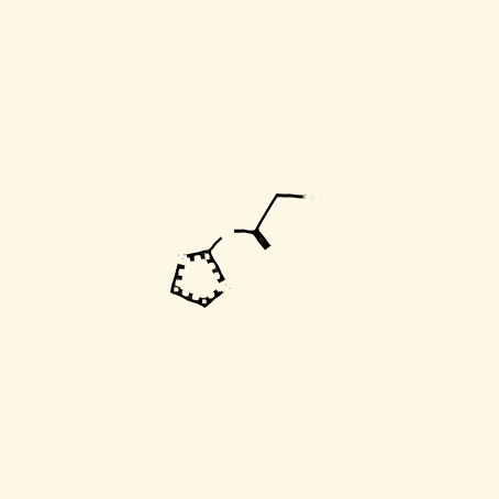 NCC(=O)Oc1ncc[nH]1